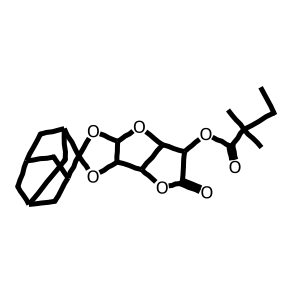 CCC(C)(C)C(=O)OC1C(=O)OC2C3OC4(OC3OC12)C1CC2CC(C1)CC4C2